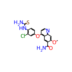 COc1cc2nccc(Oc3ccc(NC(N)=S)c(Cl)c3)c2cc1C(N)=O